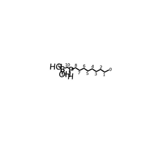 CCCCCCCCCPCB(O)O